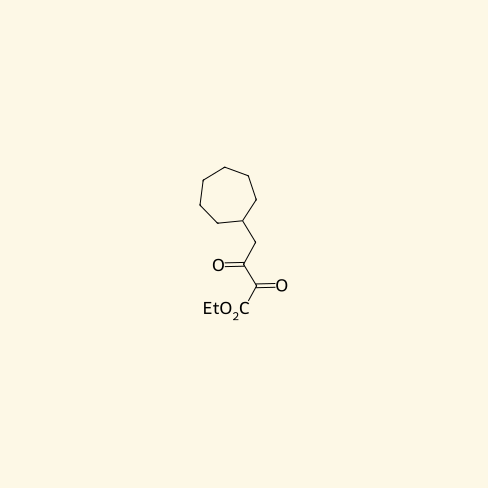 CCOC(=O)C(=O)C(=O)CC1CCCCCC1